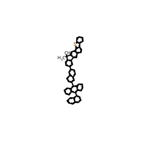 CC1(C)c2ccc(-c3ccc4cc(-c5c6ccccc6c(-c6cccc7ccccc67)c6ccccc56)ccc4c3)cc2-c2cc3ccc4c5ccccc5sc4c3cc21